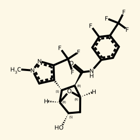 Cn1cc([C@H]2[C@H]3O[C@H](C[C@@H]3O)[C@@H]2C(=O)Nc2ccc(C(F)(F)F)c(F)c2)c(C(F)(F)F)n1